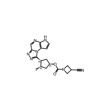 N#CC1CN(C(=O)O[C@H]2C[C@@H](I)[C@@H](c3nnc4cnc5[nH]ccc5n34)C2)C1